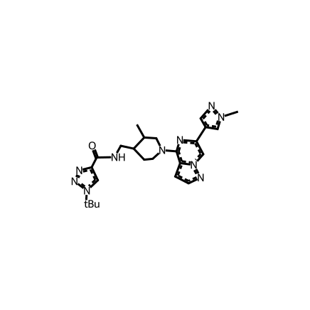 CC1CN(c2nc(-c3cnn(C)c3)cn3nccc23)CCC1CNC(=O)c1cn(C(C)(C)C)nn1